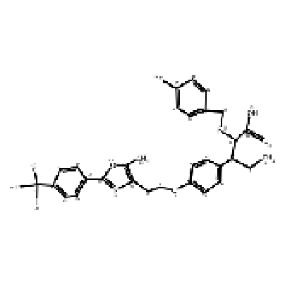 CCC(c1ccc(OCCc2nc(-c3ccc(C(F)(F)F)cc3)oc2C)cc1)C(NCc1ccc(F)cc1)C(=O)O